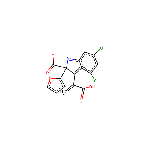 C=C(C(=O)O)C1=c2c(Cl)cc(Cl)cc2=NC1(C(=O)O)c1ccco1